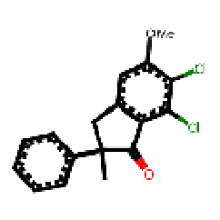 COc1cc2c(c(Cl)c1Cl)C(=O)C(C)(c1ccccc1)C2